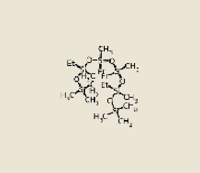 CC[Si](C)(O[Si](C)(C)C)O[Si](C)(CC)O[Si](C)(CC)O[Si](C)(CC)O[Si](C)(C)C